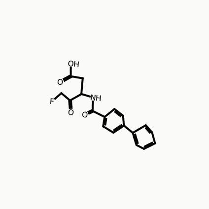 O=C(O)CC(NC(=O)c1ccc(-c2ccccc2)cc1)C(=O)CF